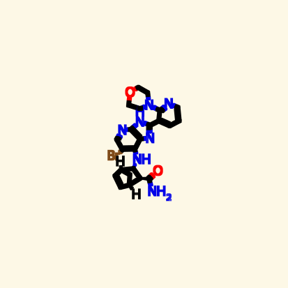 NC(=O)[C@@H]1[C@H](Nc2c(Br)cnc3[nH]c(-c4cccnc4N4CCOCC4)nc23)[C@H]2C=C[C@@H]1C2